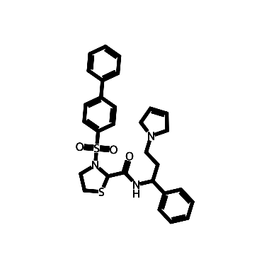 O=C(NC(CCN1CC=CC1)c1ccccc1)C1SCCN1S(=O)(=O)c1ccc(-c2ccccc2)cc1